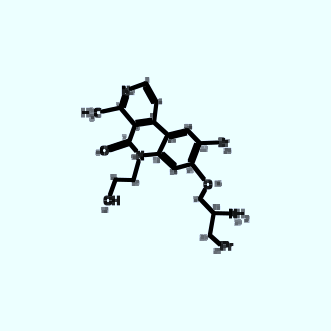 Cc1nccc2c1c(=O)n(CCO)c1cc(OCC(N)CC(C)C)c(Br)cc21